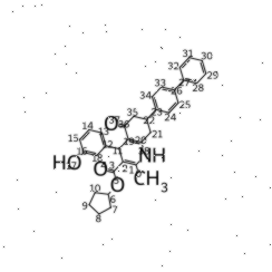 CC1=C(C(=O)OC2CCCC2)C(c2cccc(O)c2)C2=C(CC(c3ccc(-c4ccccc4)cc3)CC2=O)N1